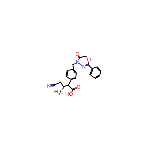 CC(CC#N)C(C(=O)O)c1ccc(CN2N=C(c3ccccc3)OCC2=O)cc1